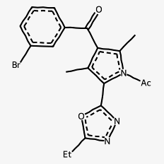 CCc1nnc(-c2c(C)c(C(=O)c3cccc(Br)c3)c(C)n2C(C)=O)o1